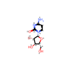 Nc1ccn([C@@H]2O[C@H](CO)[C@@H](O)[C@@H]2Br)c(=O)n1